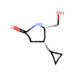 O=C1C[C@@H](C2CC2)[C@@H](CO)N1